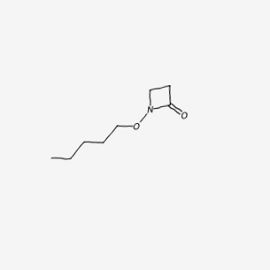 CCCCCON1CCC1=O